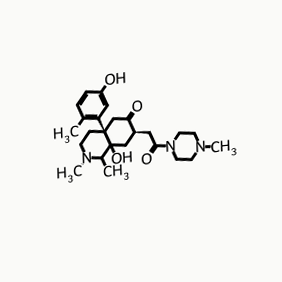 Cc1ccc(O)cc1[C@]12CCN(C)C(C)C1(O)C[C@H](CC(=O)N1CCN(C)CC1)C(=O)C2